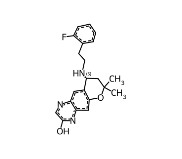 CC1(C)C[C@H](NCCc2ccccc2F)c2cc3ncc(O)nc3cc2O1